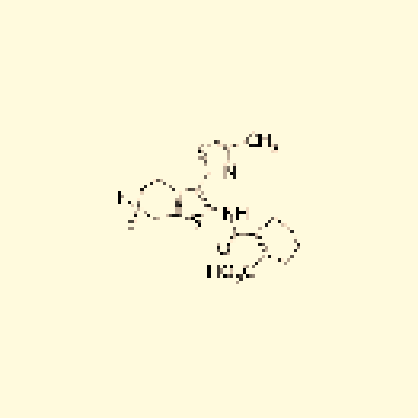 Cc1csc(-c2c(NC(=O)C3=C(C(=O)O)CCCC3)sc3c2CCC(F)(F)C3)n1